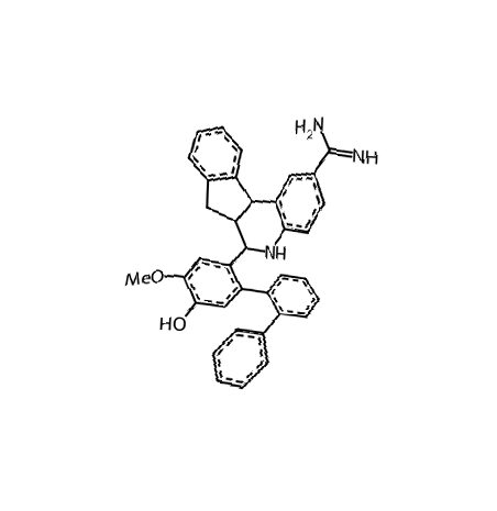 COc1cc(C2Nc3ccc(C(=N)N)cc3C3c4ccccc4CC23)c(-c2ccccc2-c2ccccc2)cc1O